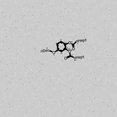 CCCCCCCCCCOc1ccc(OC(=O)CCCCCCC)c(OC(=O)CCCCCCC)c1